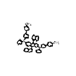 CC1=CC=C(c2ccc(N(c3ccccc3)c3ccc4c(-c5cccc6ccccc56)c5cc(N(c6ccccc6)c6ccc(-c7ccc(C)cc7)cc6)ccc5c(-c5cccc6ccccc56)c4c3)cc2)CC1